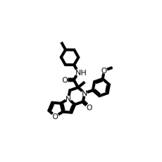 COc1cccc(N2C(=O)c3cc4occc4n3CC2(C)C(=O)NC2CCC(C)CC2)c1